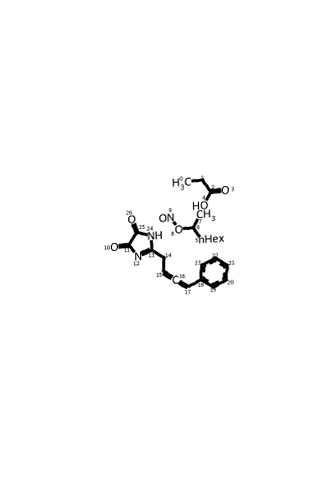 CCC(=O)O.CCCCCCC(C)ON=O.O=C1N=C(CC=C=Cc2ccccc2)NC1=O